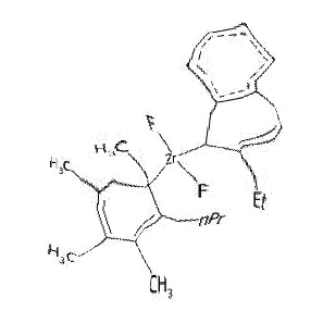 CCCC1=C(C)C(C)=C(C)[C]1(C)[Zr]([F])([F])[CH]1C(CC)=Cc2ccccc21